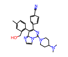 Cc1ccc(-c2c(-c3ccc(C#N)cc3)nc(N3CCC(N(C)C)CC3)n3ccnc23)c(CO)c1